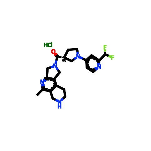 Cc1nc2c(c3c1CNCC3)CN(C(=O)[C@@H]1CCN(c3ccnc(C(F)F)c3)C1)C2.Cl